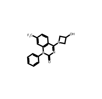 O=c1nc(N2CC(O)C2)c2ccc(C(F)(F)F)cc2n1-c1ccccc1